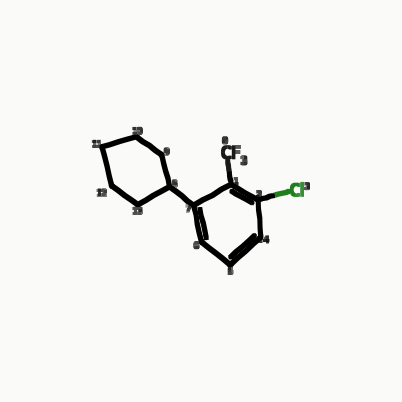 FC(F)(F)c1c(Cl)[c]ccc1C1CCCCC1